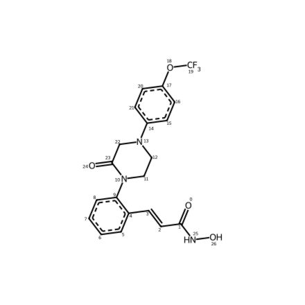 O=C(C=Cc1ccccc1N1CCN(c2ccc(OC(F)(F)F)cc2)CC1=O)NO